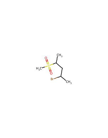 CC(Br)CC(C)S(C)(=O)=O